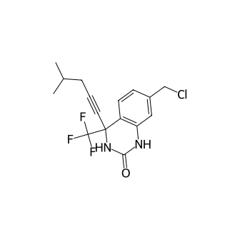 CC(C)CC#CC1(C(F)(F)F)NC(=O)Nc2cc(CCl)ccc21